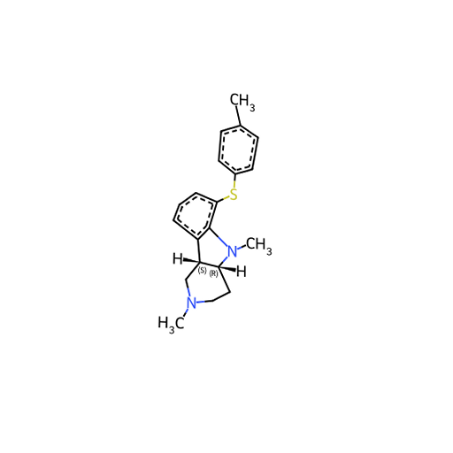 Cc1ccc(Sc2cccc3c2N(C)[C@@H]2CCN(C)C[C@H]32)cc1